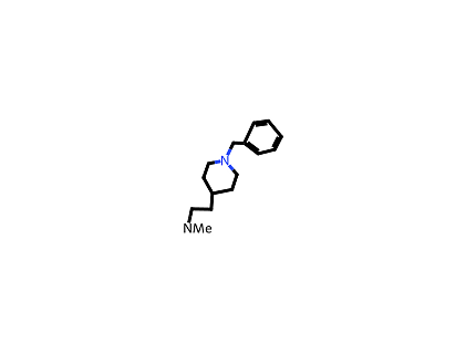 CNCCC1CCN(Cc2ccccc2)CC1